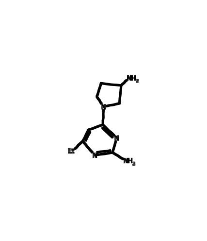 CCc1cc(N2CCC(N)C2)nc(N)n1